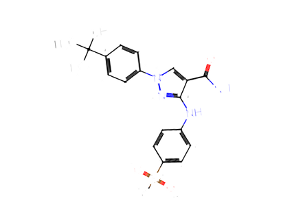 CC(C)(C)c1ccc(-n2cc(C(N)=O)c(Nc3ccc(S(C)(=O)=O)cc3)n2)cc1